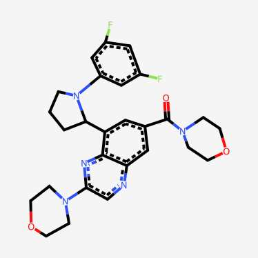 O=C(c1cc(C2CCCN2c2cc(F)cc(F)c2)c2nc(N3CCOCC3)cnc2c1)N1CCOCC1